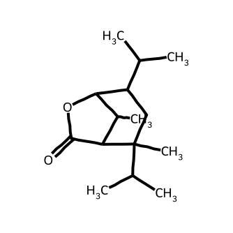 CC(C)C1CC(C)(C(C)C)C2C(=O)OC1C2C